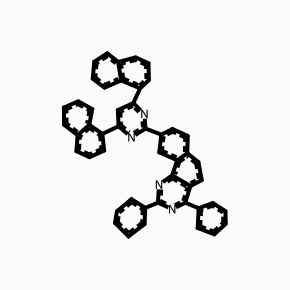 c1ccc(-c2nc(-c3ccccc3)c3ccc4ccc(-c5nc(-c6cccc7ccccc67)cc(-c6cccc7ccccc67)n5)cc4c3n2)cc1